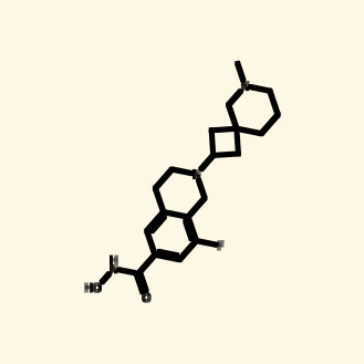 CN1CCCC2(CC(N3CCc4cc(C(=O)NO)cc(F)c4C3)C2)C1